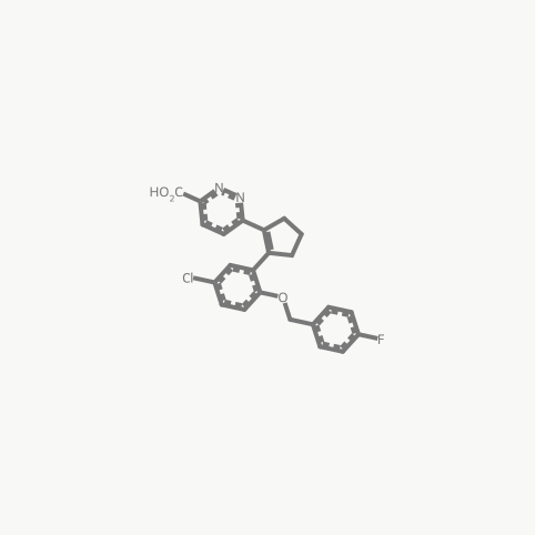 O=C(O)c1ccc(C2=C(c3cc(Cl)ccc3OCc3ccc(F)cc3)CCC2)nn1